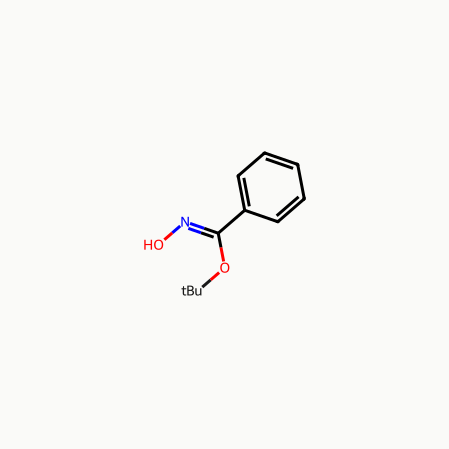 CC(C)(C)OC(=NO)c1ccccc1